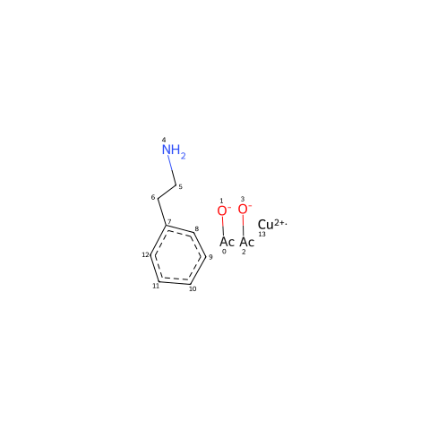 CC(=O)[O-].CC(=O)[O-].NCCc1ccccc1.[Cu+2]